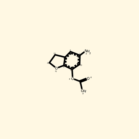 Nc1cc2c(c(OC(=O)O)c1)OCC2